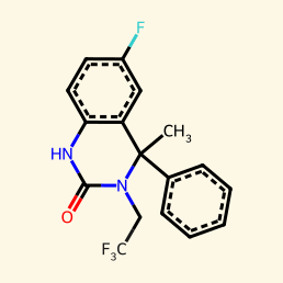 CC1(c2ccccc2)c2cc(F)ccc2NC(=O)N1CC(F)(F)F